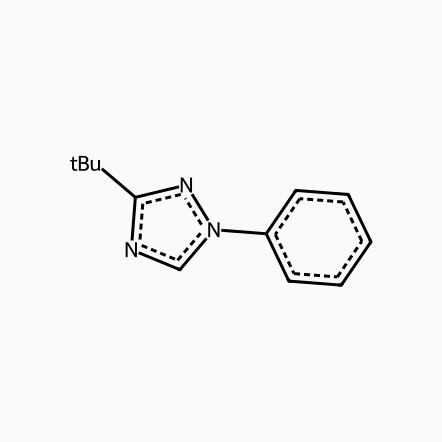 CC(C)(C)c1ncn(-c2ccccc2)n1